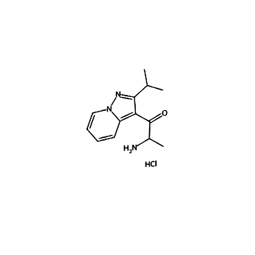 CC(N)C(=O)c1c(C(C)C)nn2ccccc12.Cl